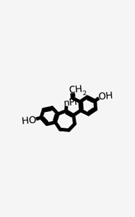 C=Cc1cc(O)ccc1C1=C(CCC)c2ccc(O)cc2CCC1